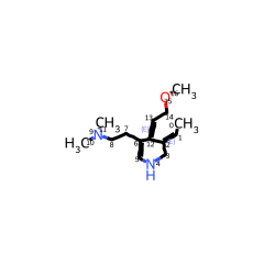 C/C=C1/CNC=C(CCN(C)C)/C1=C/COC